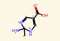 CC1(N)N=CC(C(=O)O)=CN1